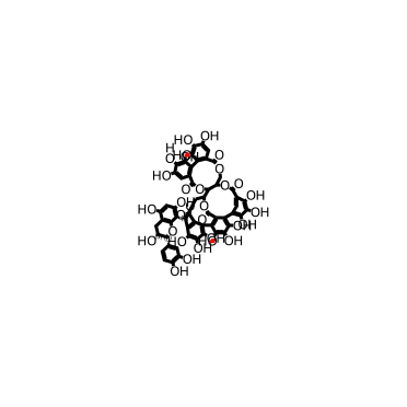 O=C1OC2COC(=O)c3cc(O)c(O)c(O)c3-c3c(cc(O)c(O)c3O)C(=O)OC2C2OC(=O)c3c(c(O)c(O)c(O)c3-c3c(O)c(O)c(O)c4c3C(=O)OC2[C@H]4c2c(O)cc(O)c3c2O[C@H](c2ccc(O)c(O)c2)[C@@H](O)C3)-c2cc1c(O)c(O)c2O